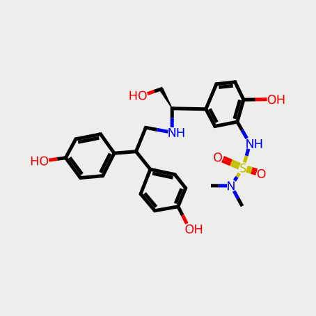 CN(C)S(=O)(=O)Nc1cc([C@H](CO)NCC(c2ccc(O)cc2)c2ccc(O)cc2)ccc1O